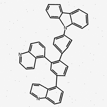 c1cc(-c2ccc(-c3ccc(-n4c5ccccc5c5ccccc54)cc3)c(-c3cccc4ncccc34)c2)c2cccnc2c1